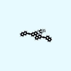 OCCOc1cc2cc(C#Cc3ccc4ccccc4c3)ccc2c(-c2cccc3cc(C#Cc4ccc5ccccc5c4)ccc23)c1OCCO